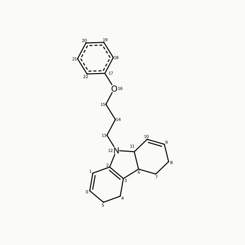 C1=CC2=C(CC1)C1CCC=CC1N2CCCOc1ccccc1